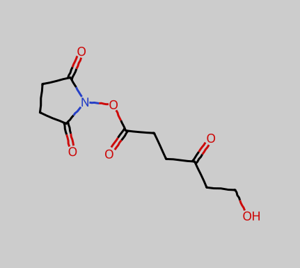 O=C(CCO)CCC(=O)ON1C(=O)CCC1=O